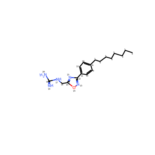 CCCCCCCCc1ccc(-c2noc(CNC(=N)N)n2)cc1